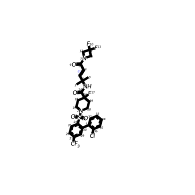 CC(C)(/C=C/C(=O)N1CC(F)(F)C1)NC(=O)C1(F)CCN(S(=O)(=O)c2ccc(C(F)(F)F)cc2-c2ccccc2Cl)CC1